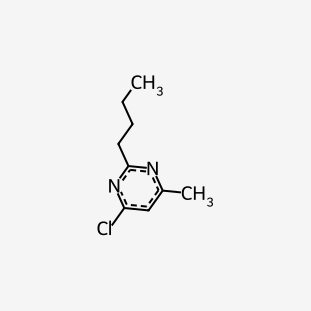 CCCCc1nc(C)cc(Cl)n1